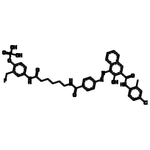 Cc1cc(Cl)ccc1NC(=O)c1cc2ccccc2c(N=Nc2ccc(C(=O)NCCCCCC(=O)Nc3ccc(OP(=O)(O)O)c(CF)c3)cc2)c1O